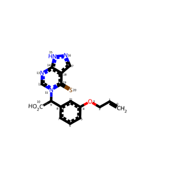 C=CCOc1cccc(C(C(=O)O)n2cnc3[nH]ncc3c2=S)c1